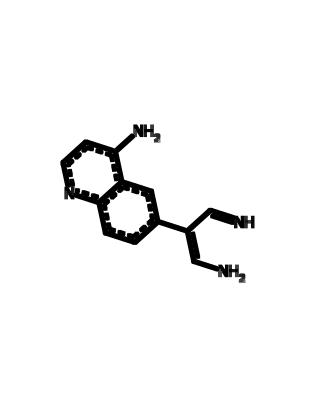 N=C/C(=C\N)c1ccc2nccc(N)c2c1